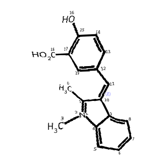 CC1=[N+](C)c2ccccc2/C1=C/c1ccc(O)c(C(=O)O)c1